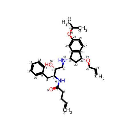 C=CCCC(=O)N[C@@H](Cc1ccccc1)[C@H](O)CN[C@H]1C[C@@H](OCC=C)c2ccc(OC(C)C)cc21